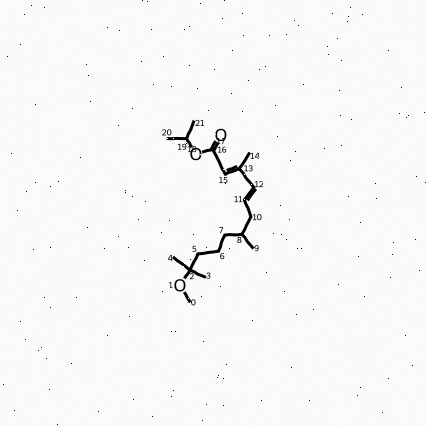 COC(C)(C)CCCC(C)C/C=C/C(C)=CC(=O)OC(C)C